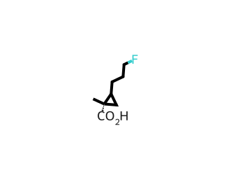 C[C@]1(C(=O)O)CC1CCCF